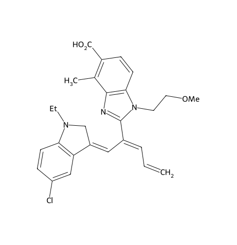 C=C/C=C(\C=C1/CN(CC)c2ccc(Cl)cc21)c1nc2c(C)c(C(=O)O)ccc2n1CCOC